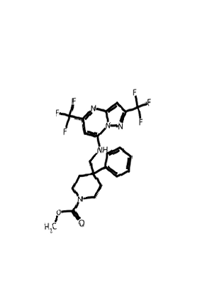 COC(=O)N1CCC(CNc2cc(C(F)(F)F)nc3cc(C(F)(F)F)nn23)(c2ccccc2)CC1